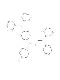 CCN(CC)c1ccc(C(=CC=C(c2ccccc2)c2ccccc2)c2ccc(N(c3ccccc3)c3ccccc3)cc2)cc1